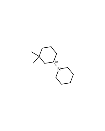 CC1(C)CCC[C@H](N2CCCCC2)C1